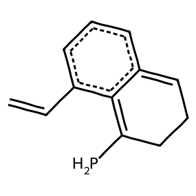 C=Cc1cccc2c1=C(P)CCC=2